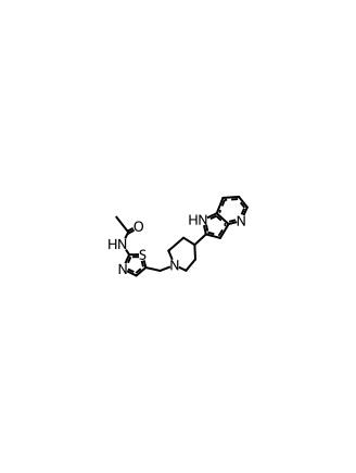 CC(=O)Nc1ncc(CN2CCC(c3cc4ncccc4[nH]3)CC2)s1